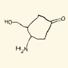 NC1CC(=O)CC1O